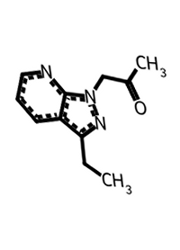 CCc1nn(CC(C)=O)c2ncccc12